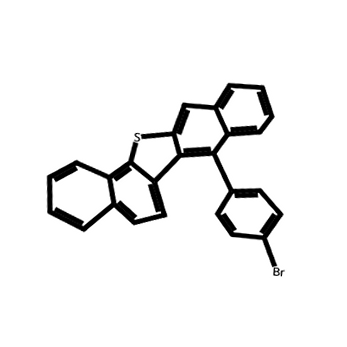 Brc1ccc(-c2c3ccccc3cc3sc4c5ccccc5ccc4c23)cc1